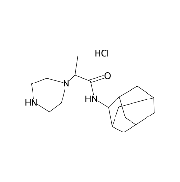 CC(C(=O)NC1C2CC3CC(C2)CC1C3)N1CCNCC1.Cl